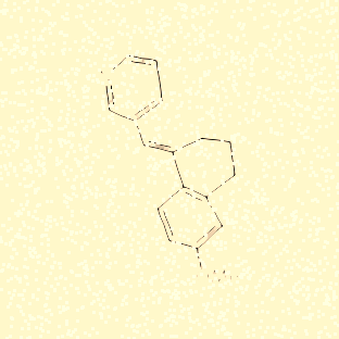 COc1ccc2c(c1)CCCC2=Cc1cccnc1